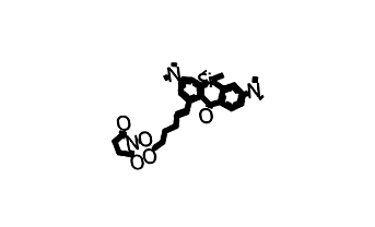 CN(C)c1ccc2c(c1)[Si](C)(C)c1cc(N(C)C)cc(/C=C/CCCC(=O)ON3C(=O)CCC3=O)c1C2=O